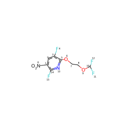 O=[N+]([O-])c1cc(F)c(OCCOC(F)F)nc1F